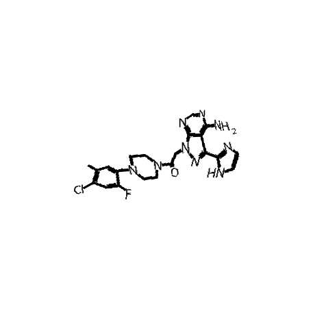 Cc1cc(N2CCN(C(=O)Cn3nc(-c4ncc[nH]4)c4c(N)ncnc43)CC2)c(F)cc1Cl